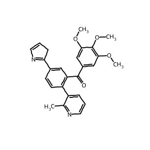 COc1cc(C(=O)c2cc(C3=NC=CC3)ccc2-c2cccnc2C)cc(OC)c1OC